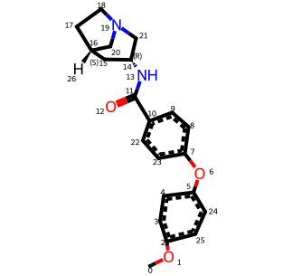 COc1ccc(Oc2ccc(C(=O)N[C@@H]3C[C@@H]4CCN(C4)C3)cc2)cc1